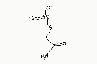 NC(=O)CS[N+](=O)[O-]